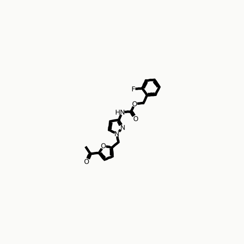 CC(=O)c1ccc(Cn2ccc(NC(=O)OCc3ccccc3F)n2)o1